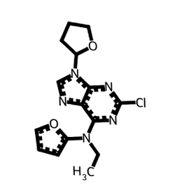 CCN(c1ccco1)c1nc(Cl)nc2c1ncn2C1CCCO1